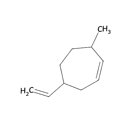 C=CC1CC=CC(C)CC1